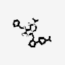 CC(C)c1ccc(-c2ccccc2Cc2nc(=O)c(OCc3ccccc3)c3n2CCN(C(C)C)C3=O)cc1